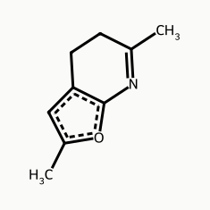 CC1=Nc2oc(C)cc2CC1